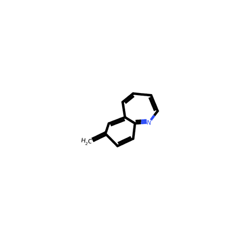 C=c1ccc2c(c1)C=CC=CN=2